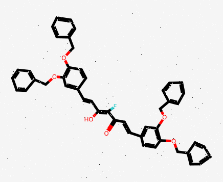 O=C(/C=C/c1ccc(OCc2ccccc2)c(OCc2ccccc2)c1)/C(F)=C(O)/C=C/c1ccc(OCc2ccccc2)c(OCc2ccccc2)c1